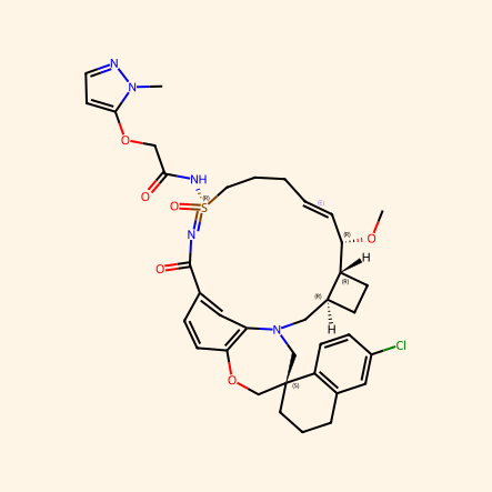 CO[C@H]1/C=C/CCC[S@@](=O)(NC(=O)COc2ccnn2C)=NC(=O)c2ccc3c(c2)N(C[C@@H]2CC[C@H]21)C[C@@]1(CCCc2cc(Cl)ccc21)CO3